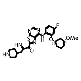 CO[C@@H]1CCC[C@H](Oc2cc(F)ccc2Nc2ncnc3sc(C(=O)C(=N)CC4CCNCC4)nc23)C1